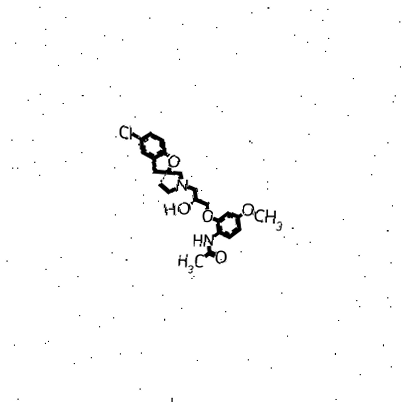 COc1ccc(NC(C)=O)c(OC[C@@H](O)CN2CC[C@@]3(Cc4cc(Cl)ccc4O3)C2)c1